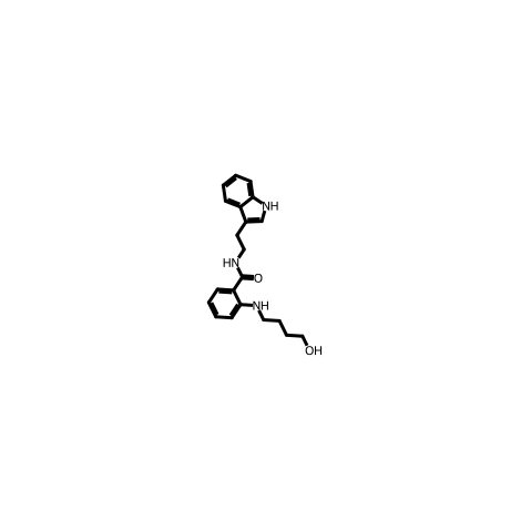 O=C(NCCc1c[nH]c2ccccc12)c1ccccc1NCCCCO